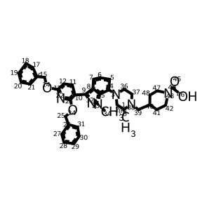 C[C@@H]1CN(c2cccc3c(-c4ccc(OCc5ccccc5)nc4OCc4ccccc4)nn(C)c23)CCN1CC1CCN(C(=O)O)CC1